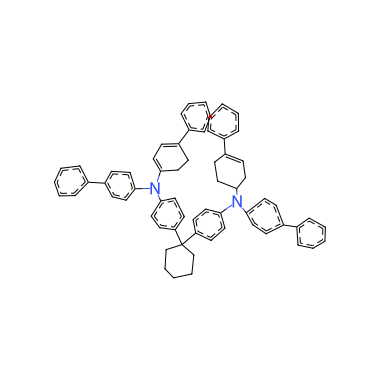 C1=C(c2ccccc2)CCC(N(c2ccc(-c3ccccc3)cc2)c2ccc(C3(c4ccc(N(c5ccc(-c6ccccc6)cc5)C5CC=C(c6ccccc6)CC5)cc4)CCCCC3)cc2)=C1